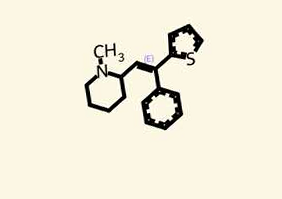 CN1CCCCC1/C=C(\c1ccccc1)c1cccs1